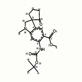 COC(=O)c1cc2c(cc1NC(=O)OC(C)(C)C)N(C)CC21CCCC1=O